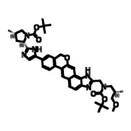 COC[C@@H](C)CN(Cc1nc2ccc3cc4c(cc3c2[nH]1)OCc1cc(-c2cnc([C@@H]3C[C@H](C)CN3C(=O)OC(C)(C)C)[nH]2)ccc1-4)C(=O)OC(C)(C)C